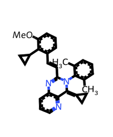 COc1cccc(/C=C/C2=Nc3cccnc3C(=C3CC3)N2c2c(C)cccc2C)c1C1CC1